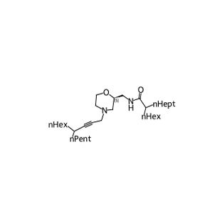 CCCCCCCC(CCCCCC)C(=O)NC[C@H]1CN(CC#CC(CCCCC)CCCCCC)CCO1